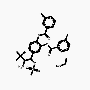 CCO.Cc1cccc(C(=O)Oc2ccc(C(OS(C)(=O)=O)C(N)C(C)(C)C)cc2OC(=O)c2cccc(C)c2)c1